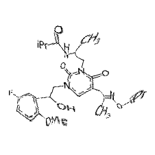 COc1ccc(F)cc1C(O)Cn1cc(/C(C)=N/OC(C)C)c(=O)n(CC(C)NC(=O)C(C)C)c1=O